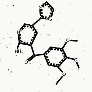 COc1cc(C(=O)c2cc(-c3nccs3)cnc2N)cc(OC)c1OC